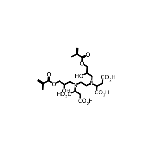 C=C(C)C(=O)OCC(O)CN(CCN(CC(O)COC(=O)C(=C)C)C(CC(=O)O)C(=O)O)C(CC(=O)O)C(=O)O